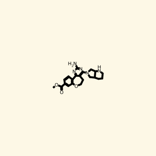 COC(=O)c1ccc2c(c1)OCCc1c-2nc(N)nc1N1CC2CCCNC2C1